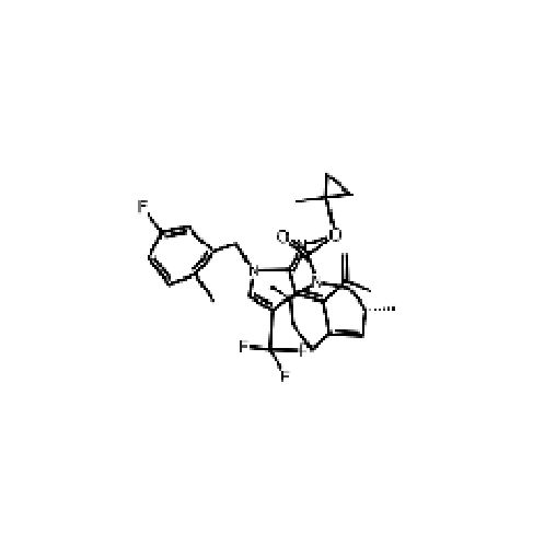 C=C(C)C(/C1=C\[C@@H](C)CN(C(=O)OC2(C)CC2)[C@H](C)CC1)=C1/C(C(F)(F)F)=CN(Cc2cc(F)ccc2C)/C1=N/C